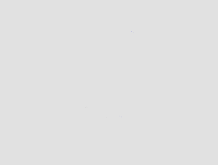 C=C(C)c1c2c(c(C)[nH]c1=O)CC(c1ccncc1)CC2